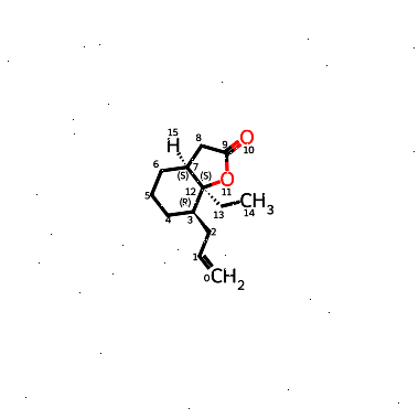 C=CC[C@H]1CCC[C@H]2CC(=O)O[C@@]12CC